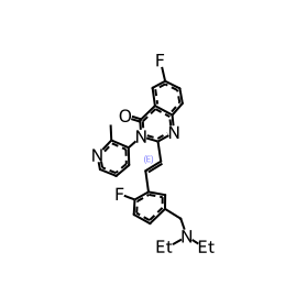 CCN(CC)Cc1ccc(F)c(/C=C/c2nc3ccc(F)cc3c(=O)n2-c2cccnc2C)c1